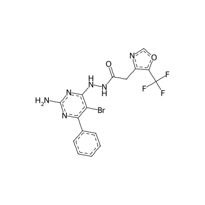 Nc1nc(NNC(=O)Cc2ncoc2C(F)(F)F)c(Br)c(-c2ccccc2)n1